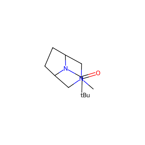 CN1CC2CCC(C1)N2C(=O)C(C)(C)C